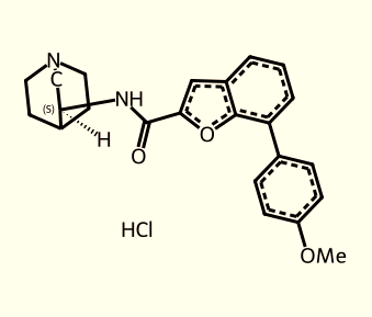 COc1ccc(-c2cccc3cc(C(=O)N[C@@H]4CN5CCC4CC5)oc23)cc1.Cl